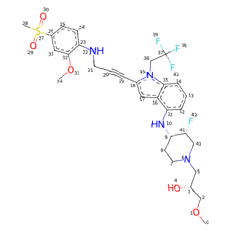 COC[C@H](O)CN1CC[C@H](Nc2cccc3c2cc(C#CCNc2ccc(S(C)(=O)=O)cc2OC)n3CC(F)(F)F)[C@H](F)C1